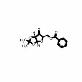 CC1(C)O[C@H]2O[C@H](COC(=O)c3ccccc3)C(=O)[C@H]2O1